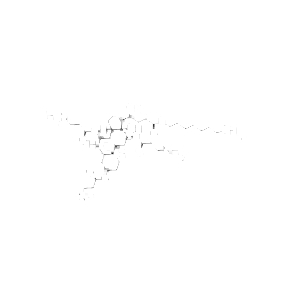 CCCCCCCCOC(=O)CC[C@@H](C)[C@H]1CC[C@H]2C3[C@H](OC(=O)CCN)CC4C[C@H](OC(=O)CCN)CCC4(C)[C@H]3C[C@H](OC(=O)CCN)[C@]12C